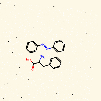 NC(Cc1ccccc1)C(=O)O.c1ccc(N=Nc2ccccc2)cc1